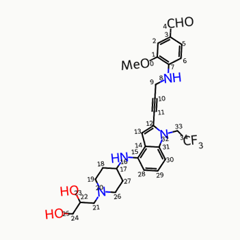 COc1cc(C=O)ccc1NCC#Cc1cc2c(NC3CCN(CC(O)CO)CC3)cccc2n1CC(F)(F)F